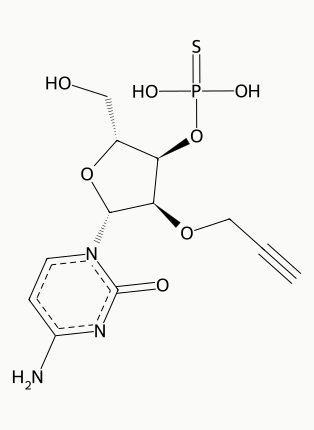 C#CCO[C@@H]1[C@H](OP(O)(O)=S)[C@@H](CO)O[C@H]1n1ccc(N)nc1=O